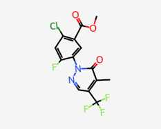 COC(=O)c1cc(-n2ncc(C(F)(F)F)c(C)c2=O)c(F)cc1Cl